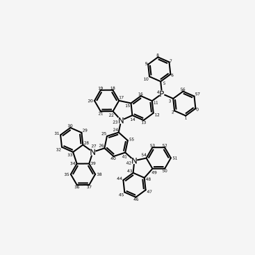 c1ccc(P(c2ccccc2)c2ccc3c(c2)c2ccccc2n3-c2cc(-n3c4ccccc4c4ccccc43)cc(-n3c4ccccc4c4ccccc43)c2)cc1